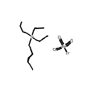 CCCC[N+](CC)(CC)CC.[O]=[Re](=[O])(=[O])[O-]